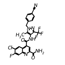 Cc1c(NC(=O)c2cc(C(N)=O)nc3cc(F)c(Cl)cc23)c(C(F)(F)F)nn1Cc1ccc(C#N)cc1